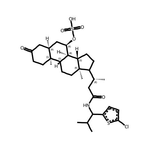 CC(C)C(NC(=O)C[C@@H](C)C1CC[C@H]2[C@@H]3[C@H](OS(=O)(=O)O)C[C@@H]4CC(=O)CC[C@]4(C)[C@H]3CC[C@]12C)c1ccc(Cl)s1